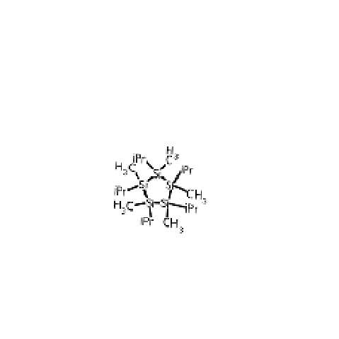 CC(C)[Si]1(C)[Si](C)(C(C)C)[Si](C)(C(C)C)[Si](C)(C(C)C)[Si]1(C)C(C)C